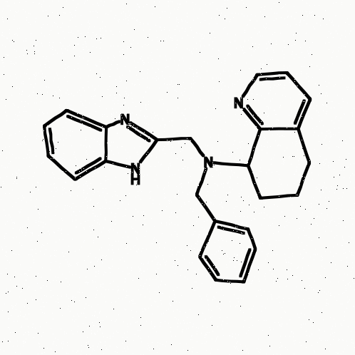 c1ccc(CN(Cc2nc3ccccc3[nH]2)C2CCCc3cccnc32)cc1